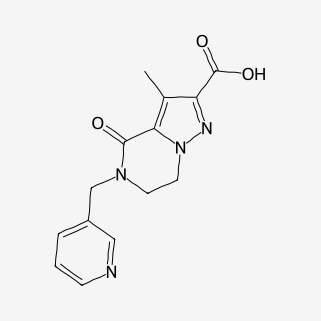 Cc1c(C(=O)O)nn2c1C(=O)N(Cc1cccnc1)CC2